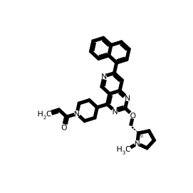 C=CC(=O)N1CCC(c2nc(OC[C@@H]3CCCN3C)nc3cc(-c4cccc5ccccc45)ncc23)CC1